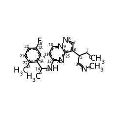 CCC(/C=N\C)c1cnn2ccc(NC(C)c3cc(F)ccc3C)nc12